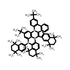 CC(C)(C)c1ccc(N2c3cc(C(C)(C)C)cc4c3B(c3ccc5c(c3N4c3ccc4c(c3)C(C)(C)CCC4(C)C)C(C)(C)CCC5(C)C)c3c2sc2cc4c(cc32)C(C)(C)CCC4(C)C)c(-c2ccccc2)c1